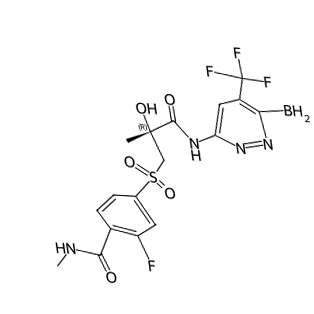 Bc1nnc(NC(=O)[C@@](C)(O)CS(=O)(=O)c2ccc(C(=O)NC)c(F)c2)cc1C(F)(F)F